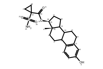 C[C@]12CCC3c4ccc(O)cc4CCC3C1CC[C@@H]2OC(=O)C1(S(N)(=O)=O)CC1